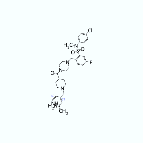 C=C(N)/C=C(\C=C/N)CN1CCC(C(=O)N2CCN(Cc3ccc(F)cc3S(=O)(=O)N(C)c3ccc(Cl)cc3)CC2)CC1